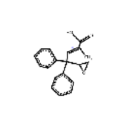 C/C(=C\C(c1ccccc1)(c1ccccc1)C1CO1)C(=O)O